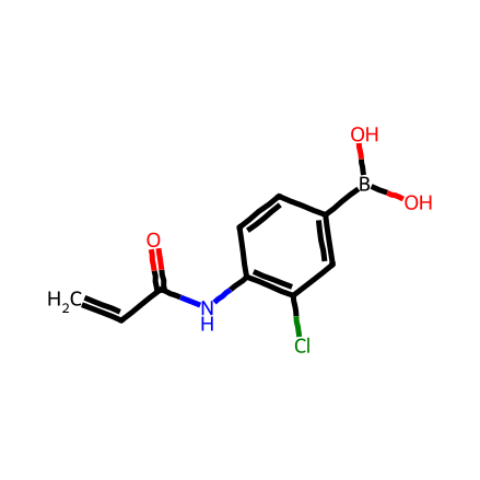 C=CC(=O)Nc1ccc(B(O)O)cc1Cl